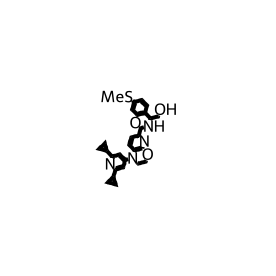 CSc1ccc(C(CO)NC(=O)c2ccc3c(n2)OCCN3c2cc(C3CC3)nc(C3CC3)c2)cc1